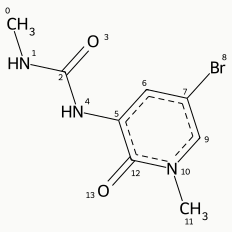 CNC(=O)Nc1cc(Br)cn(C)c1=O